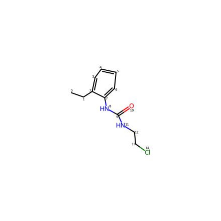 CCc1ccccc1NC(=O)NCCCl